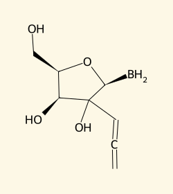 B[C@@H]1O[C@H](CO)[C@H](O)C1(O)C=C=C